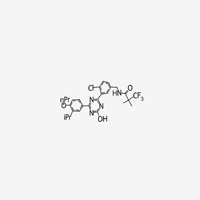 CCCOc1ccc(-c2nc(O)nc(-c3cc(CNC(=O)C(C)(C)C(F)(F)F)ccc3Cl)n2)cc1C(C)C